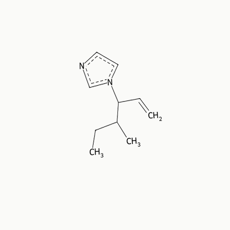 C=CC(C(C)CC)n1ccnc1